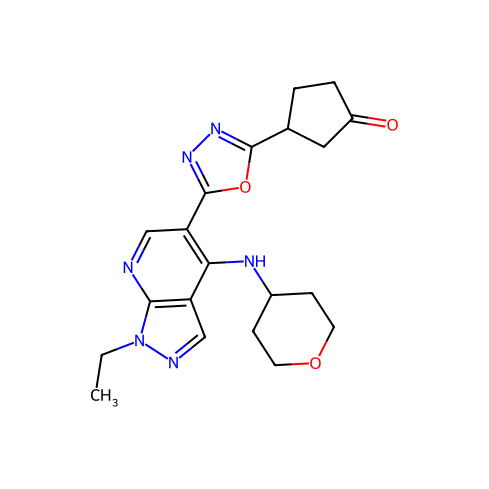 CCn1ncc2c(NC3CCOCC3)c(-c3nnc(C4CCC(=O)C4)o3)cnc21